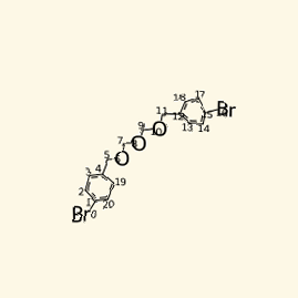 Brc1ccc(COCOCOCc2ccc(Br)cc2)cc1